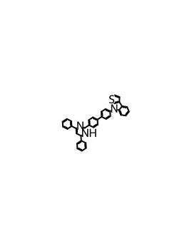 C1=C(c2ccccc2)N=C(c2ccc(-c3ccc(-n4c5ccccc5c5ccsc54)cc3)cc2)NC1c1ccccc1